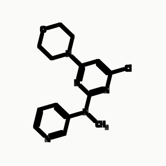 CN(c1cccnc1)c1nc(Cl)cc(N2CCOCC2)n1